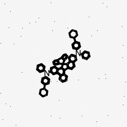 c1ccc(N(c2ccc(C3CCCCC3)cc2)c2ccc3c4c(ccc3c2)-c2c(c3ccc(N(c5ccccc5)c5ccc(C6CCCCC6)cc5)cc3c3ccccc23)C42c3ccccc3-c3ccccc32)cc1